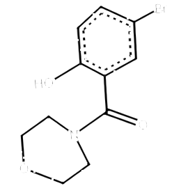 O=C(c1cc(Br)ccc1O)N1CCOCC1